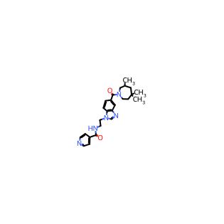 CC1CN(C(=O)c2ccc3c(c2)ncn3CCNC(=O)c2ccncc2)CCC(C)(C)C1